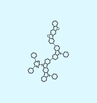 c1ccc(-c2cc(-c3ccccc3)nc(-n3c4ccc(-c5ccc6c(c5)c5cc(-c7ccc8oc9cc%10c(cc9c8c7)oc7ccccc7%10)ccc5n6-c5ccccc5)cc4c4cc5c(cc43)c3ccccc3n5-c3ccccc3)n2)cc1